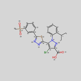 CC(C)c1ccccc1-n1nc(C(=O)O)c(Br)c1-c1nnc(-c2cccc(S(C)(=O)=O)c2)s1